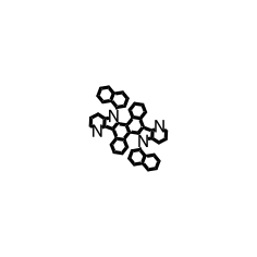 c1ccc2c(-n3c4cccnc4c4c5ccccc5c5c(c6ccccc6c6c7ncccc7n(-c7cccc8ccccc78)c65)c43)cccc2c1